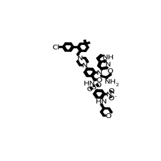 CC1(C)CCC(CN2CCN(c3ccc(C(=O)NS(=O)(=O)c4ccc(NCC5CCOCC5)c([N+](=O)[O-])c4)c(N4CC(N)COc5nc6[nH]ccc6cc54)c3)CC2)=C(c2ccc(Cl)cc2)C1